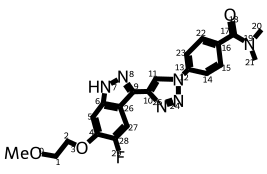 COCCOc1cc2[nH]nc(-c3cn(-c4ccc(C(=O)N(C)C)cc4)nn3)c2cc1F